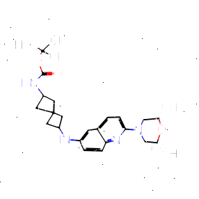 C[C@@H]1CN(c2ccc3cc(NC4CC5(CC(NC(=O)OC(C)(C)C)C5)C4)ccc3n2)C[C@H](C)O1